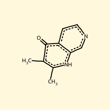 Cc1[nH]c2cnccc2c(=O)c1C